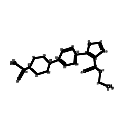 CCOC(=O)c1ncoc1-c1ccc(N2CCN(C(=O)O)CC2)cc1